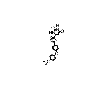 O=c1cc(-c2nc(-c3ccc(Oc4ccc(C(F)(F)F)cc4)cc3)no2)[nH]c(=O)[nH]1